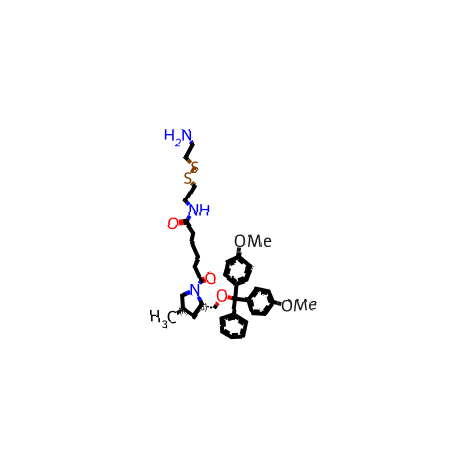 COc1ccc(C(OC[C@@H]2C[C@@H](C)CN2C(=O)CCCCC(=O)NCCSSCCN)(c2ccccc2)c2ccc(OC)cc2)cc1